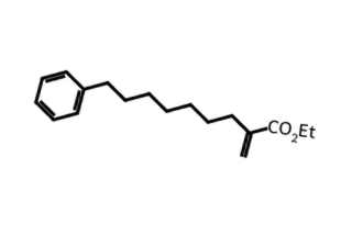 C=C(CCCCCCCc1ccccc1)C(=O)OCC